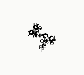 COc1cc([C@H]2CC[C@H](C)CN2C(=O)C(=O)OCC(F)(F)F)cnc1C.COc1cc([C@H]2CC[C@H](C)CN2C(=O)C(N)=O)cnc1C